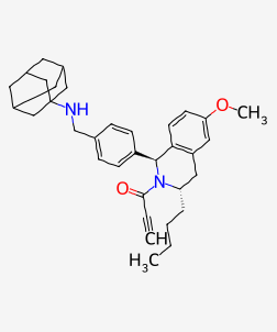 C#CC(=O)N1[C@@H](CCCC)Cc2cc(OC)ccc2[C@@H]1c1ccc(CNC23CC4CC(CC(C4)C2)C3)cc1